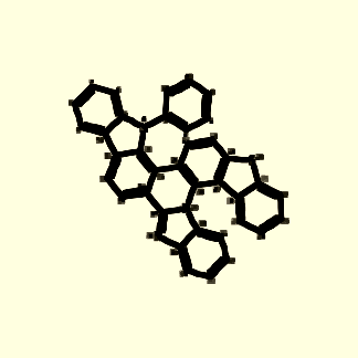 c1ccc(-n2c3ccccc3c3ccc4c(c5ccc6sc7ccccc7c6c5n5c6ccccc6nc45)c32)cc1